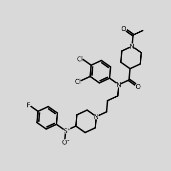 CC(=O)N1CCC(C(=O)N(CCCN2CCC([S+]([O-])c3ccc(F)cc3)CC2)c2ccc(Cl)c(Cl)c2)CC1